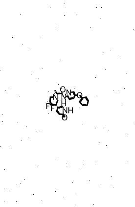 CC(C(=O)Nc1ccc(Oc2ccccc2)cn1)N1CCC(F)(F)[C@@H](c2ccc(=O)[nH]c2)C1